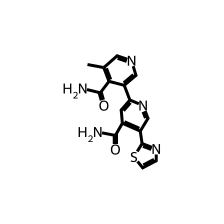 Cc1cncc(-c2cc(C(N)=O)c(-c3nccs3)cn2)c1C(N)=O